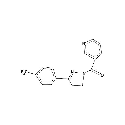 O=C(c1cccnc1)N1CCC(c2ccc(C(F)(F)F)cc2)=N1